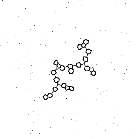 C1=CC2c3ccccc3SC2C=C1N(c1ccc(-c2cccc(-n3c4ccccc4c4ccccc43)c2)cc1)c1ccc(-c2ccc(-c3ccc4c(c3)c3ccccc3n4-c3cccc(-c4ccc(N(c5ccc(-c6ccc7ccccc7c6)cc5)c5ccc6c(c5)oc5ccccc56)cc4)c3)c3ccccc23)cc1